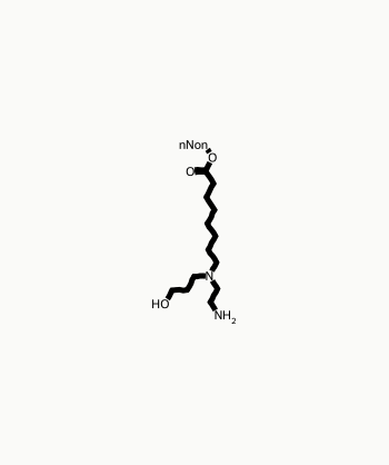 CCCCCCCCCOC(=O)CCCCCCCN(CCN)CCCO